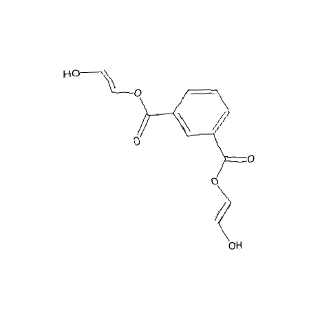 O=C(OC=CO)c1cccc(C(=O)OC=CO)c1